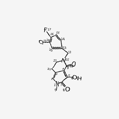 Cn1cc2c(c(O)c1=O)C(=O)N(Cc1ccc(F)c(Cl)c1)CC2